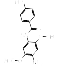 COc1cc(NC(=O)c2ccc(C)cc2)c(OC)cc1N